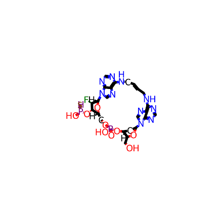 O=P1(O)OC[C@H]2O[C@H]([C@H](F)[C@@H]2O[PH](O)=S)n2cnc3c(ncnc32)NC/C=C/CNc2ncnc3c2ncn3C2C[C@H](O1)C(CO)O2